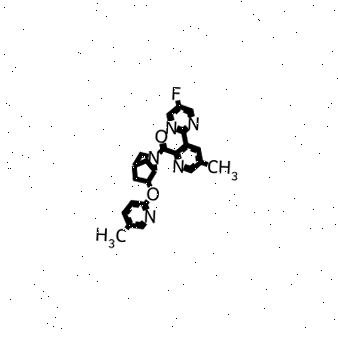 Cc1ccc(OC2CC3CC2N(C(=O)c2ncc(C)cc2-c2ncc(F)cn2)C3)nc1